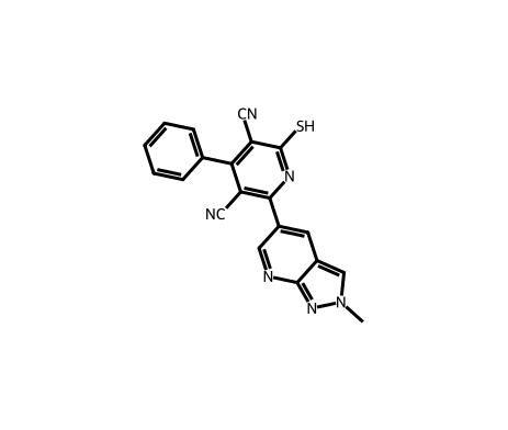 Cn1cc2cc(-c3nc(S)c(C#N)c(-c4ccccc4)c3C#N)cnc2n1